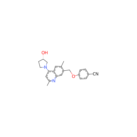 Cc1cc(N2CC[C@H](O)C2)c2cc(C)c(COc3ccc(C#N)cc3)cc2n1